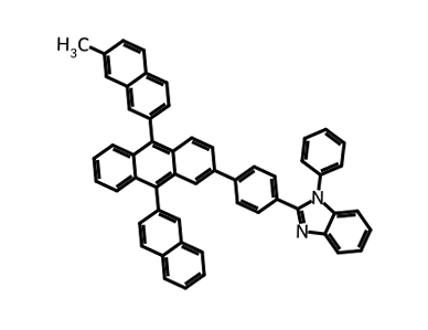 Cc1ccc2ccc(-c3c4ccccc4c(-c4ccc5ccccc5c4)c4cc(-c5ccc(-c6nc7ccccc7n6-c6ccccc6)cc5)ccc34)cc2c1